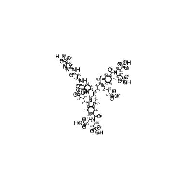 CC1(C)C(/C=C/C(=C/C=C2/N(CCCS(=O)(=O)O)c3ccc(C(=O)N(CCS(=O)(=O)O)CCS(=O)(=O)O)cc3C2(C)C)c2ccc(C(=O)NCCC(=O)Nc3nnc(S(N)(=O)=O)s3)cn2)=[N+](CCCS(=O)(=O)[O-])c2ccc(C(=O)N(CCS(=O)(=O)O)CCS(=O)(=O)O)cc21